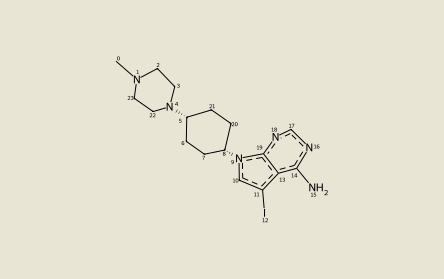 CN1CCN([C@H]2CC[C@@H](n3cc(I)c4c(N)ncnc43)CC2)CC1